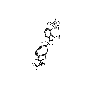 CCC(CC)(c1ccc2nc(NC(C)=O)sc2c1)c1c[nH]c2c(NS(C)(=O)=O)cccc12